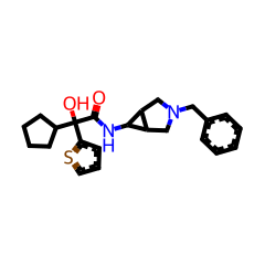 O=C(NC1C2CN(Cc3ccccc3)CC21)C(O)(c1cccs1)C1CCCC1